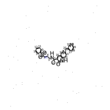 O=C(NC/C=C/S(=O)(=O)c1ccccc1)c1cc2c([nH]c1=O)CCN(Cc1cccnc1)C2